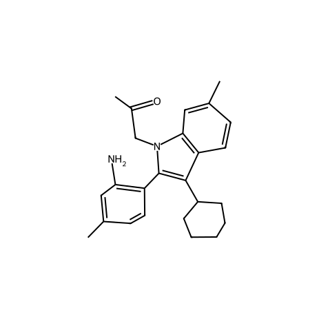 CC(=O)Cn1c(-c2ccc(C)cc2N)c(C2CCCCC2)c2ccc(C)cc21